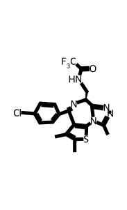 Cc1sc2c(c1C)C(c1ccc(Cl)cc1)=N[C@@H](CNC(=O)C(F)(F)F)c1nnc(C)n1-2